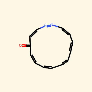 O=c1ccccccccccnncc1